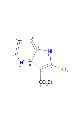 CCOC(=O)c1c(Cl)[nH]c2cccnc12